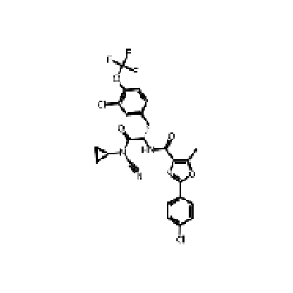 Cc1oc(-c2ccc(Cl)cc2)nc1C(=O)N[C@@H](Cc1ccc(OC(F)(F)F)c(Cl)c1)C(=O)N(C#N)C1CC1